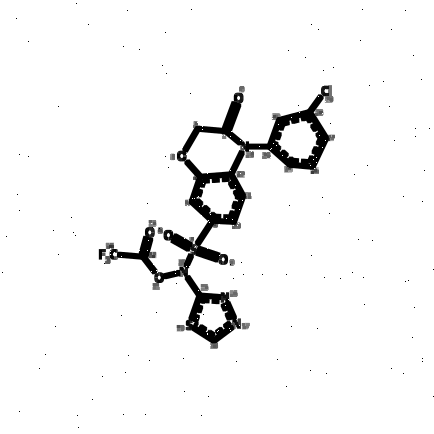 O=C1COc2cc(S(=O)(=O)N(OC(=O)C(F)(F)F)c3nncs3)ccc2N1c1cccc(Cl)c1